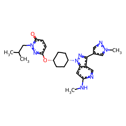 CNc1cc2c(cn1)c(-c1cnn(C)c1)nn2[C@H]1CC[C@@H](Oc2ccc(=O)n(CC(C)C)n2)CC1